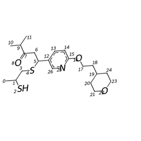 CC(S)CSC(CC(=O)C(C)C)c1ccc(OCCC2CCOCC2)nc1